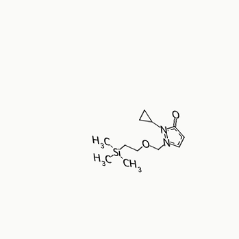 C[Si](C)(C)CCOCn1ccc(=O)n1C1CC1